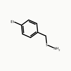 CCc1ccc(CSN)cc1